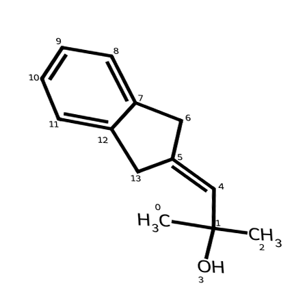 CC(C)(O)C=C1Cc2ccccc2C1